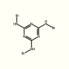 BrNc1nc(NBr)nc(NBr)n1